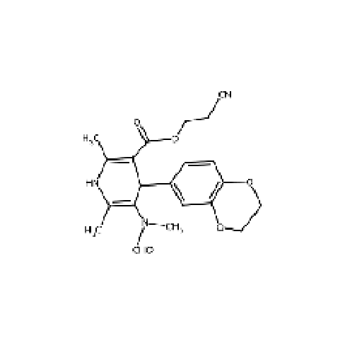 CC1=C(C(=O)OCCC#N)C(c2ccc3c(c2)OCCO3)C(N(C)C=O)=C(C)N1